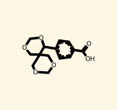 O=C(O)c1ccc(C2OCOCC23COCOC3)cc1